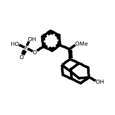 COC(=C1C2CC3CC1CC(O)(C3)C2)c1cccc(OP(=O)(O)O)c1